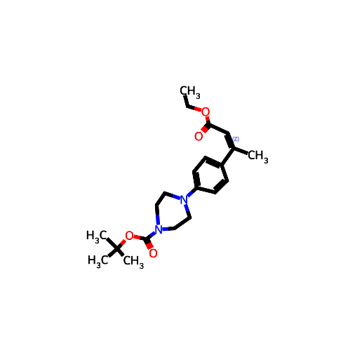 CCOC(=O)/C=C(/C)c1ccc(N2CCN(C(=O)OC(C)(C)C)CC2)cc1